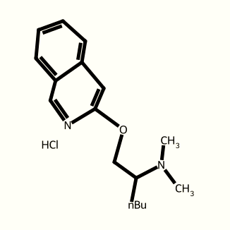 CCCCC(COc1cc2ccccc2cn1)N(C)C.Cl